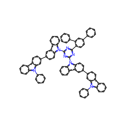 c1ccc(-c2ccc(-c3nc(-n4c5ccccc5c5cc(-c6ccc7c8ccccc8n(-c8ccccc8)c7c6)ccc54)nc(-n4c5ccccc5c5cc(-c6ccc7c8ccccc8n(-c8ccccc8)c7c6)ccc54)n3)c(-c3ccccc3)c2)cc1